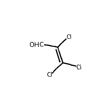 O=CC(Cl)=C(Cl)Cl